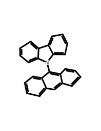 c1ccc2c(-n3c4ccccc4c4ccccc43)c3ccccc3cc2c1